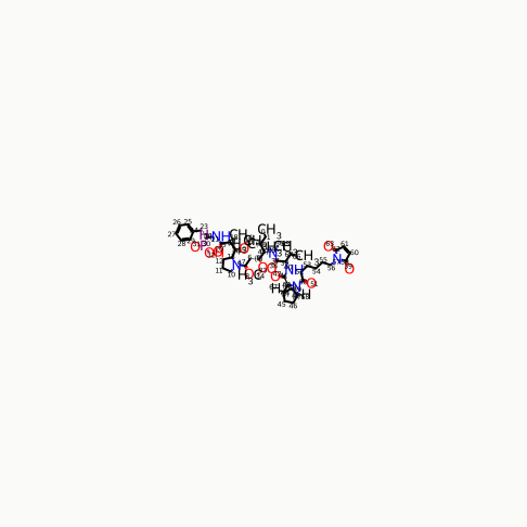 CC[C@H](C)[C@@H]([C@@H](CC(=O)N1CCCC1[C@H](OC)[C@@H](C)C(=O)N[C@@H](Cc1ccccc1)[PH](=O)O)OC)N(C)C(=O)C(NC(=O)[C@@H]1[C@H]2CC[C@H](C2)N1C(=O)CCCCCN1C(=O)C=CC1=O)C(C)C